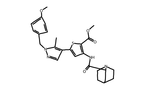 COC(=O)c1sc(-c2cnn(Cc3ccc(OC)cc3)c2C)cc1NC(=O)C1CC2CCN1CC2